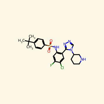 CC(C)(C)c1ccc(S(=O)(=O)Nc2cc(F)c(Cl)cc2-c2nncn2C2CCCNC2)cc1